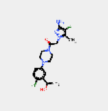 Cc1c(Cl)c(N)nn1CC(=O)N1CCN(c2ccc(Cl)c(C(C)O)c2)CC1